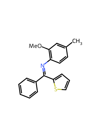 COc1cc(C)ccc1N=C(c1ccccc1)c1cccs1